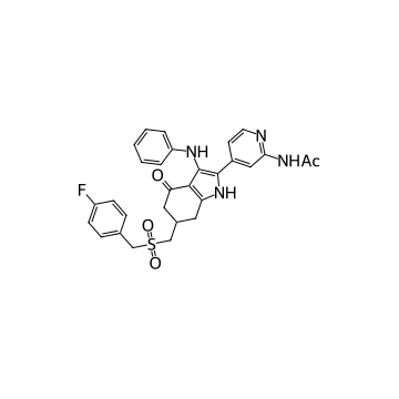 CC(=O)Nc1cc(-c2[nH]c3c(c2Nc2ccccc2)C(=O)CC(CS(=O)(=O)Cc2ccc(F)cc2)C3)ccn1